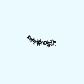 Nc1ncnc2c1c(-c1ccc(Oc3ccccc3)cc1)nn2C1CCN(C2C[C@@H]3CN(C4C[C@@H]5CN(C(=O)CC67CC8CC(CC(C8)C6)C7)C[C@@H]5C4)C[C@@H]3C2)CC1